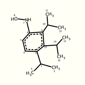 CC(C)c1ccc(NO)c(C(C)C)c1C(C)C